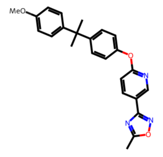 COc1ccc(C(C)(C)c2ccc(Oc3ccc(-c4noc(C)n4)cn3)cc2)cc1